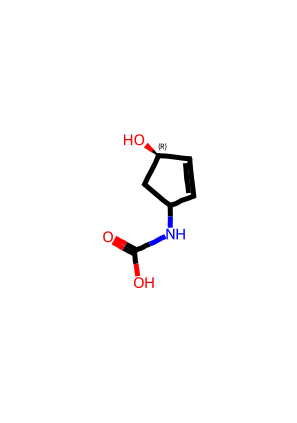 O=C(O)NC1C=C[C@H](O)C1